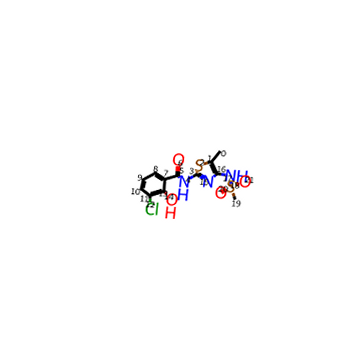 Cc1sc(NC(=O)c2cccc(Cl)c2O)nc1NS(C)(=O)=O